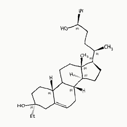 CC[C@]1(O)CC[C@H]2C(=CC[C@@H]3C2CC[C@]2(C)[C@@H]([C@H](C)CC[C@@H](O)C(C)C)CC[C@@H]32)C1